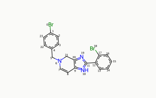 Brc1ccc(CN2C=Cc3[nH]c(-c4ccccc4Br)nc3C2)cc1